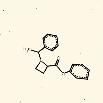 CC(c1ccccc1)N1CCC1C(=O)Oc1ccccc1